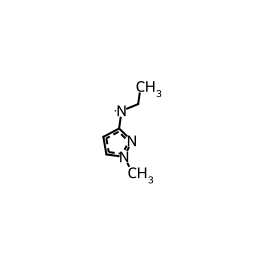 CC[N]c1ccn(C)n1